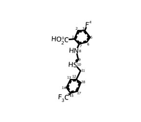 O=C(O)c1cc(F)ccc1NC=[SH]Cc1ccc(C(F)(F)F)cc1